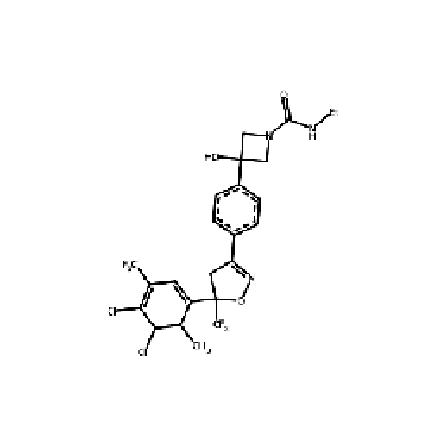 CCNC(=O)N1CC(O)(c2ccc(C3=NOC(C4=CC(C(F)(F)F)=C(Cl)C(Cl)C4C)(C(F)(F)F)C3)cc2)C1